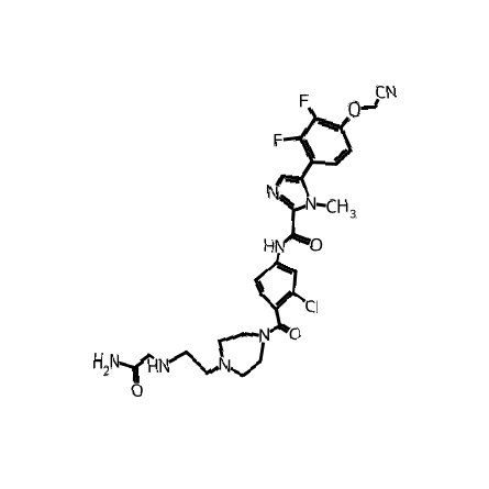 Cn1c(-c2ccc(OCC#N)c(F)c2F)cnc1C(=O)Nc1ccc(C(=O)N2CCN(CCNCC(N)=O)CC2)c(Cl)c1